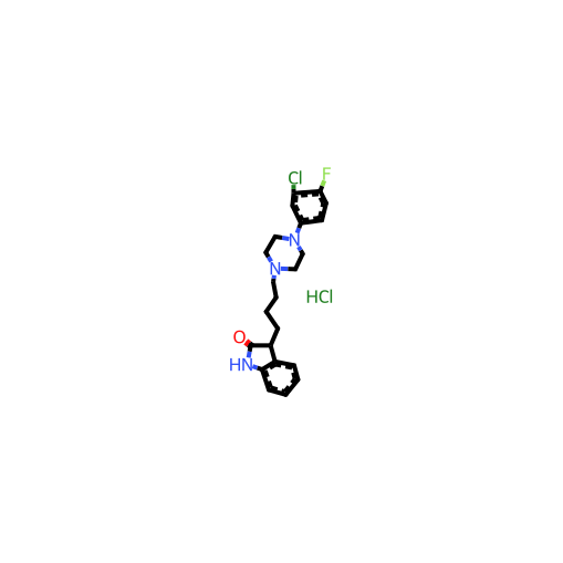 Cl.O=C1Nc2ccccc2C1CCCCN1CCN(c2ccc(F)c(Cl)c2)CC1